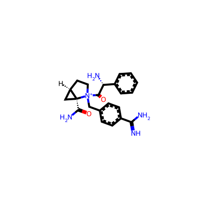 N=C(N)c1ccc(C[N+]2(C(=O)[C@H](N)c3ccccc3)CC[C@@H]3C[C@@]32C(N)=O)cc1